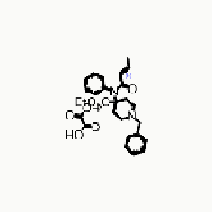 C/C=C/C(=O)N(c1ccccc1)C1(C(=O)OCC)CCN(Cc2ccccc2)CC1.O=C(O)C(=O)O